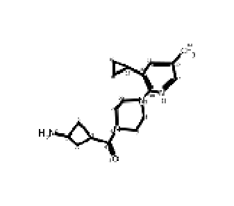 NC1CC(C(=O)N2CCN(c3ncc(C(F)(F)F)cc3C3CC3)CC2)C1